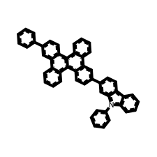 c1ccc(-c2ccc3c(c2)c2ccccc2c2c4ccc(-c5ccc6c7ccccc7n(-c7ccccc7)c6c5)cc4c4ccccc4c32)cc1